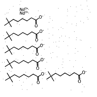 CC(C)(C)CCCCCC(=O)[O-].CC(C)(C)CCCCCC(=O)[O-].CC(C)(C)CCCCCC(=O)[O-].CC(C)(C)CCCCCC(=O)[O-].CC(C)(C)CCCCCC(=O)[O-].CC(C)(C)CCCCCC(=O)[O-].[Nd+3].[Nd+3]